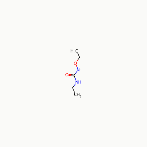 CCNC(=O)[N]OCC